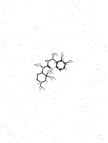 C[C@H](NC(=O)N(C)C1CCN(C)CC1(C)C)c1cccc(Cl)c1Cl